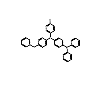 Cc1ccc(N(c2ccc(Cc3ccccc3)cc2)c2ccc(N(c3ccccc3)c3ccccc3)cc2)cc1